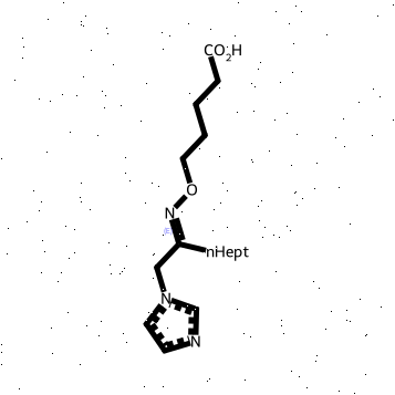 CCCCCCC/C(Cn1ccnc1)=N\OCCCCC(=O)O